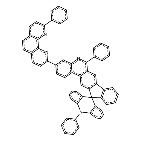 c1ccc(-c2ccc3ccc4ccc(-c5ccc6c(c5)nc(-c5ccccc5)c5cc7c(cc56)C5(c6ccccc6-7)c6ccccc6N(c6ccccc6)c6ccccc65)nc4c3n2)cc1